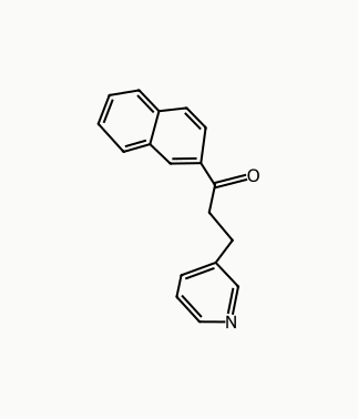 O=C(CCc1cccnc1)c1ccc2ccccc2c1